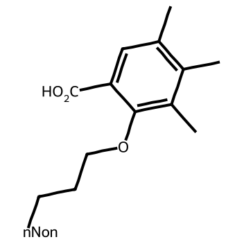 CCCCCCCCCCCCOc1c(C(=O)O)cc(C)c(C)c1C